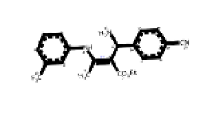 CCOC(=O)/C(=C(\C)Nc1cccc(C(F)(F)F)c1)C(N)c1ccc(C#N)cc1